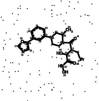 CC(C)C[C@H](C(=O)N1CCN(c2cccc(-c3cnco3)c2)C[C@H]1C)[C@H](O)C(=O)NO